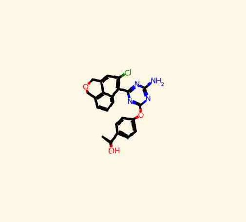 CC(O)c1ccc(Oc2nc(N)nc(-c3c(Cl)cc4c5c(cccc35)COC4)n2)cc1